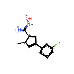 C[C@@H]1C=C(c2cccc(F)c2)C[C@@H]1/C(N)=N/O